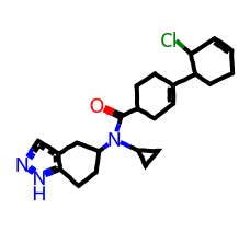 O=C(C1CC=C(C2CCC=CC2Cl)CC1)N(C1CC1)C1CCc2[nH]ncc2C1